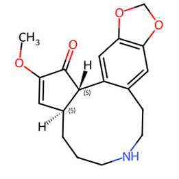 COC1=C[C@@H]2CCCNCCc3cc4c(cc3[C@H]2C1=O)OCO4